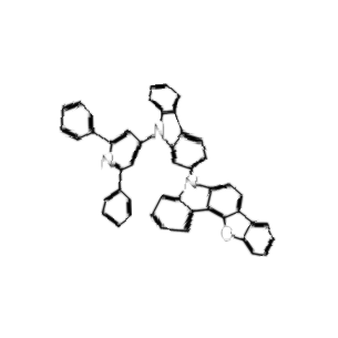 c1ccc(-c2cc(-n3c4ccccc4c4ccc(-n5c6ccccc6c6c7oc8ccccc8c7ccc65)cc43)cc(-c3ccccc3)n2)cc1